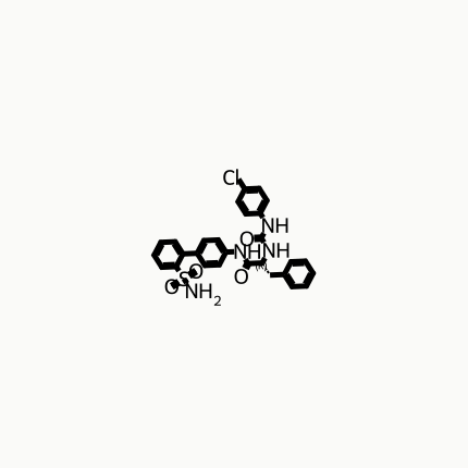 NS(=O)(=O)c1ccccc1-c1ccc(NC(=O)[C@@H](Cc2ccccc2)NC(=O)Nc2ccc(Cl)cc2)cc1